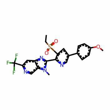 CCS(=O)(=O)c1cc(-c2ccc(OC)cc2)cnc1-c1nc2cc(C(F)(F)F)ncc2n1C